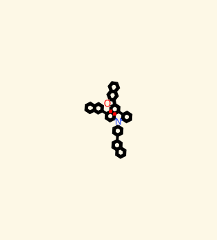 c1ccc(N(c2ccc(-c3ccc4ccccc4c3)cc2)c2ccc(-c3ccc4ccccc4c3)cc2)c(-c2ccc3oc4cc5ccccc5cc4c3c2)c1